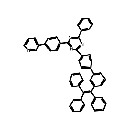 c1ccc(C(=C(c2ccccc2)c2cccc(-c3ccc(-c4nc(-c5ccccc5)nc(-c5ccc(-c6cccnc6)cc5)n4)cc3)c2)c2ccccc2)cc1